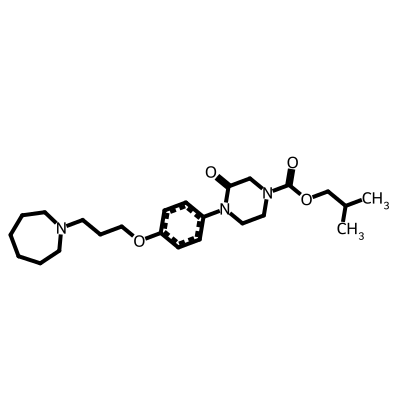 CC(C)COC(=O)N1CCN(c2ccc(OCCCN3CCCCCC3)cc2)C(=O)C1